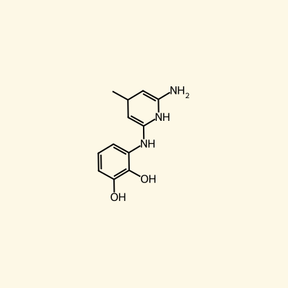 CC1C=C(N)NC(Nc2cccc(O)c2O)=C1